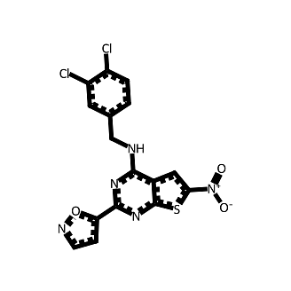 O=[N+]([O-])c1cc2c(NCc3ccc(Cl)c(Cl)c3)nc(-c3ccno3)nc2s1